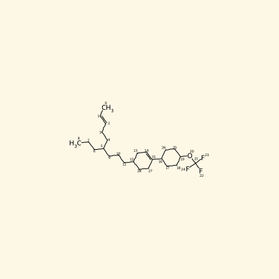 C/C=C/CCC(CCC)CCCC1CC=C(C2CCC(OC(F)(F)F)CC2)CC1